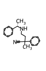 C[C@H](NCCC(C)(C#N)c1ccccc1)c1ccccc1